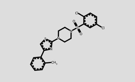 Cc1ccccc1-c1csc(N2CCN(S(=O)(=O)c3cc(Cl)ccc3Cl)CC2)n1